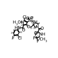 C[C@@H](NC(=O)C(=O)N1CC[C@]2(COc3c(c(Cl)n(C)c3C(=O)Nc3ccc(F)c(Cl)c3)S(=O)(=O)N2)C1)C(F)(F)F